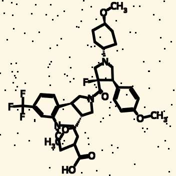 COC[C@H]1CN(C(=O)[C@]2(F)CN([C@H]3CC[C@H](OC)CC3)C[C@H]2c2ccc(OC)cc2)C[C@@H]1c1ccc(C(F)(F)F)cc1N1CCC(C(=O)O)CC1